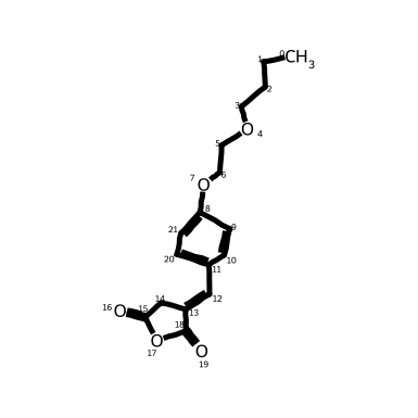 CCCCOCCOc1ccc(/C=C2\CC(=O)OC2=O)cc1